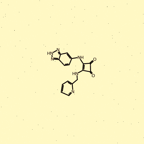 O=c1c(NCc2ccccn2)c(Nc2ccc3n[nH]nc3c2)c1=O